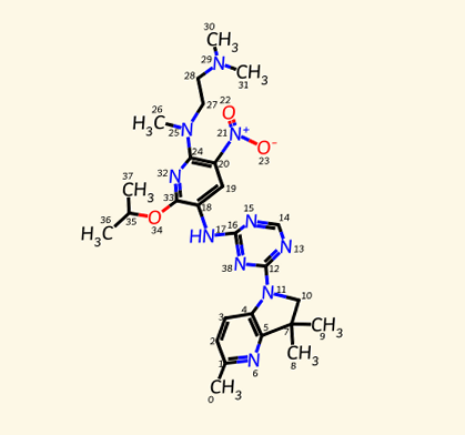 Cc1ccc2c(n1)C(C)(C)CN2c1ncnc(Nc2cc([N+](=O)[O-])c(N(C)CCN(C)C)nc2OC(C)C)n1